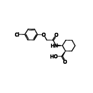 O=C(COc1ccc(Cl)cc1)N[C@H]1CCCC[C@H]1C(=O)O